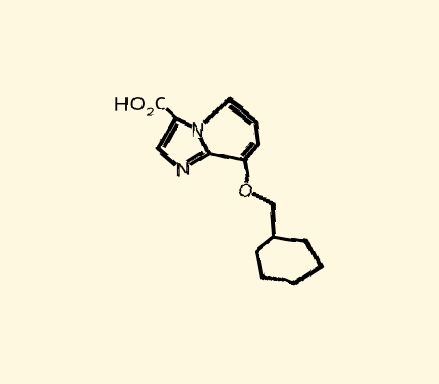 O=C(O)c1cnc2c(OCC3CCCCC3)cccn12